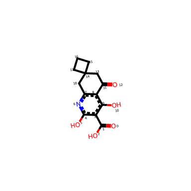 O=C(O)c1c(O)nc2c(c1O)C(=O)CC1(CCC1)C2